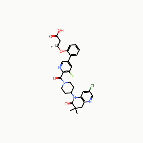 C[C@H](CC(=O)O)Oc1ccccc1-c1cnc(C(=O)N2CCC(N3C(=O)C(C)(C)Cc4ncc(Cl)cc43)CC2)c(F)c1